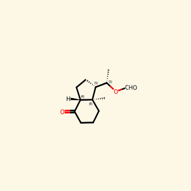 C[C@H](OC=O)[C@H]1CC[C@H]2C(=O)CCC[C@]12C